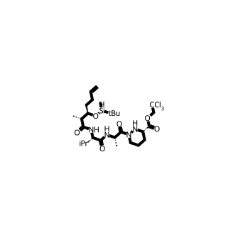 C=CCC[C@@H](O[SiH](C)C(C)(C)C)[C@@H](C)C(=O)N[C@H](C(=O)N[C@@H](C)C(=O)N1CCC[C@@H](C(=O)OCC(Cl)(Cl)Cl)N1)C(C)C